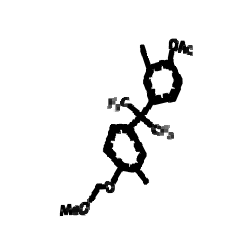 COCOc1ccc(C(c2ccc(OC(C)=O)c(C)c2)(C(F)(F)F)C(F)(F)F)cc1C